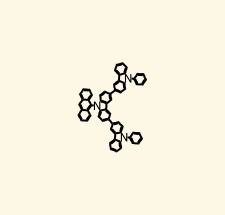 c1ccc(-n2c3ccccc3c3cc(-c4ccc5c(c4)c4cc(-c6ccc7c(c6)c6ccccc6n7-c6ccccc6)ccc4n5-c4c5ccccc5cc5ccccc45)ccc32)cc1